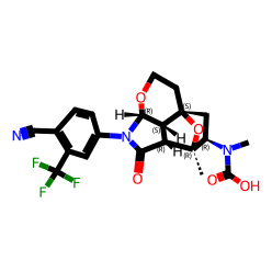 CN(C(=O)O)[C@@H]1C[C@]23CCO[C@@H]4[C@H]2[C@@H](C(=O)N4c2ccc(C#N)c(C(F)(F)F)c2)[C@@]1(C)O3